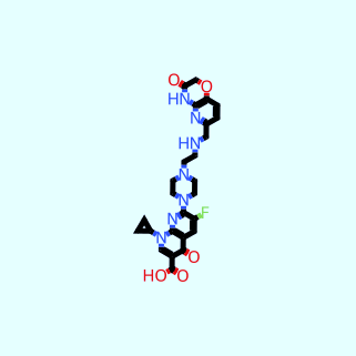 O=C1COc2ccc(CNCCN3CCN(c4nc5c(cc4F)c(=O)c(C(=O)O)cn5C4CC4)CC3)nc2N1